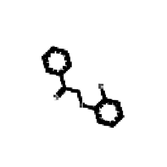 O=C(COc1ccccc1Cl)c1ccccc1